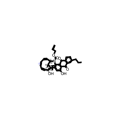 C=CCOC(=O)N1c2c(cc(O)c3c2C(=O)c2ccc(CCC)cc2C3=O)[C@@]23O[C@@]2(C(C)C)[C@@H]1C#C/C=C\C#C[C@H]3O